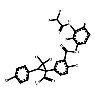 NC(=O)C1(c2ccc(Cl)c(C(=O)Nc3ccc(F)c(NC(=O)C(F)F)c3F)c2)C(c2ccc(Cl)cc2)C1(Cl)Cl